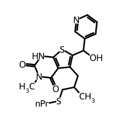 CCCSCC(C)Cc1c(C(O)c2cccnc2)sc2[nH]c(=O)n(C)c(=O)c12